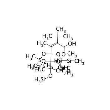 CC(=C(C(=O)O)C(C)(C)C)C(O[SiH](C)[Si](C)(C)C)(O[Si](C)(C)C)C(O[SiH3])(O[SiH3])C(C)(C)O[SiH3]